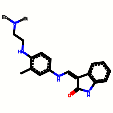 CCN(CC)CCNc1ccc(NC=C2C(=O)Nc3ccccc32)cc1C